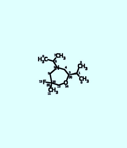 CC(C)[C@@H]1CN(C(C)C)C[C@@](C)(F)CO1